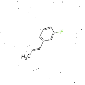 C[C]=Cc1cccc(F)c1